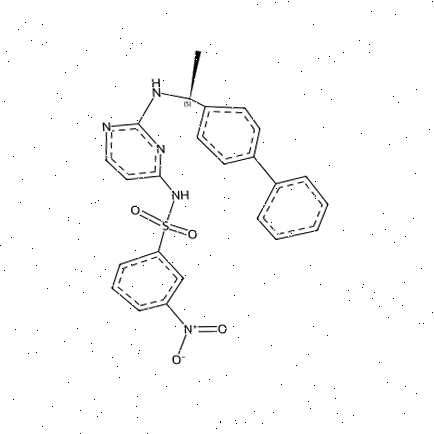 C[C@H](Nc1nccc(NS(=O)(=O)c2cccc([N+](=O)[O-])c2)n1)c1ccc(-c2ccccc2)cc1